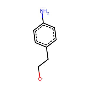 Nc1ccc(CC[O])cc1